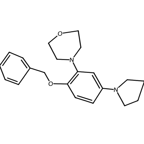 c1ccc(COc2ccc(N3CCCC3)cc2N2CCOCC2)cc1